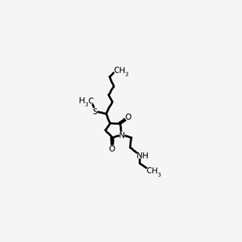 CCCCCC(SC)C1CC(=O)N(CCNCC)C1=O